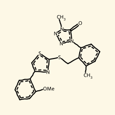 COc1ccccc1-c1csc(SCc2c(C)cccc2-n2nnn(C)c2=O)n1